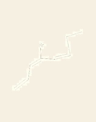 C=C/C=C(Br)\C=C/CC